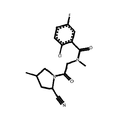 CC1CC(C#N)N(C(=O)CN(C)C(=O)c2cc(F)ccc2Cl)C1